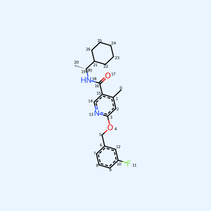 Cc1cc(OCc2cccc(F)c2)ncc1C(=O)N[C@H](C)C1CCCCC1